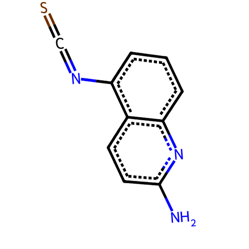 Nc1ccc2c(N=C=S)cccc2n1